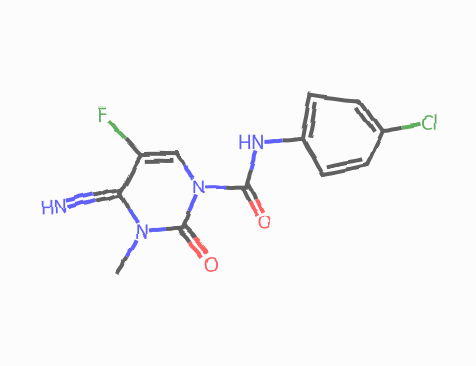 Cn1c(=N)c(F)cn(C(=O)Nc2ccc(Cl)cc2)c1=O